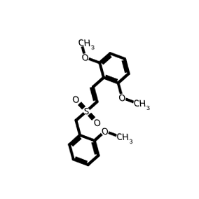 COc1ccccc1CS(=O)(=O)/C=C/c1c(OC)cccc1OC